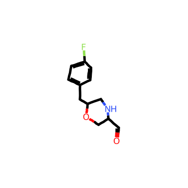 O=CC1COC(Cc2ccc(F)cc2)CN1